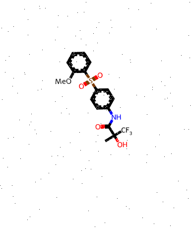 COc1ccccc1S(=O)(=O)c1ccc(NC(=O)C(C)(O)C(F)(F)F)cc1